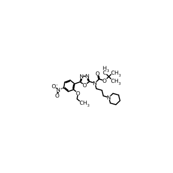 CCOc1cc([N+](=O)[O-])ccc1-c1nnc(N(CCCN2CCCCC2)C(=O)OC(C)(C)C)o1